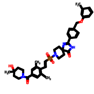 Cc1cc(C(=O)N2CCC(C)(O)CC2)cc(C)c1/C=C/S(=O)(=O)N1CCC2(CC1)N=C(c1ccc(COc3cccc(C(F)(F)F)c3)cc1)NC2=O